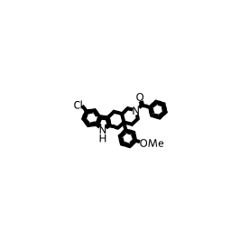 COc1cccc(C23CCN(C(=O)c4ccccc4)CC2Cc2c([nH]c4ccc(Cl)cc24)C3)c1